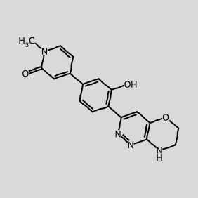 Cn1ccc(-c2ccc(-c3cc4c(nn3)NCCO4)c(O)c2)cc1=O